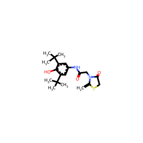 C=C1SCC(=O)N1CC(=O)Nc1cc(C(C)(C)C)c(O)c(C(C)(C)C)c1